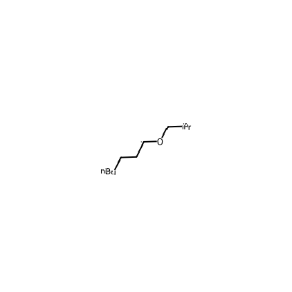 CCCCCC[CH]OCC(C)C